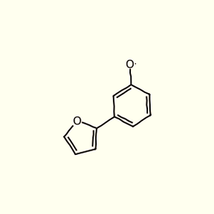 [O]c1cccc(-c2ccco2)c1